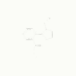 COC(=O)c1ccccc1N1CCCC1CN